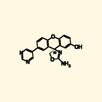 NC1=N[C@]2(CO1)c1cc(O)ccc1Oc1ccc(-c3cncnc3)cc12